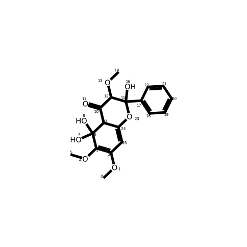 COC1=C(OC)C(O)(O)C2C(=O)C(OC)C(O)(c3ccccc3)OC2=C1